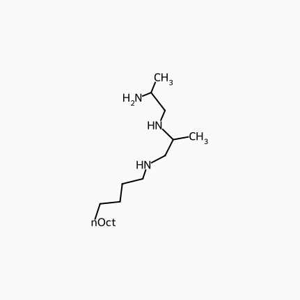 CCCCCCCCCCCCNCC(C)NCC(C)N